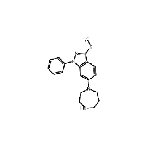 CSc1nn(-c2ccccc2)c2cc(N3CCCNCC3)ccc12